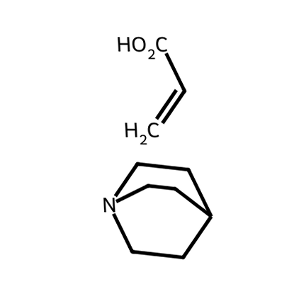 C1CN2CCC1CC2.C=CC(=O)O